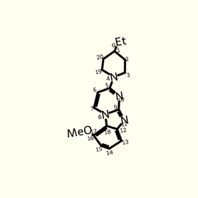 CCC1CCN(c2ccn3c(n2)nc2cccc(OC)c23)CC1